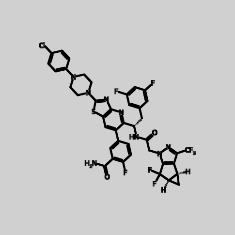 NC(=O)c1cc(-c2cc3sc(N4CCN(c5ccc(Cl)cc5)CC4)nc3nc2[C@H](Cc2cc(F)cc(F)c2)NC(=O)Cn2nc(C(F)(F)F)c3c2C(F)(F)[C@@H]2C[C@H]32)ccc1F